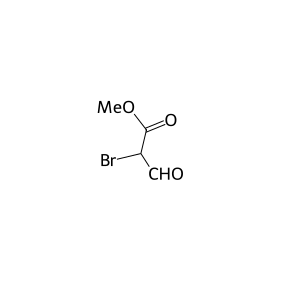 COC(=O)C(Br)C=O